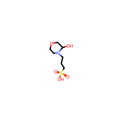 O=S(=O)(O)CCCN1CCOCC1O